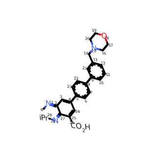 C/N=C1/C=C(c2ccc(-c3cccc(CN4CCOCC4)c3)cc2)C=C(C(=O)O)/C1=N/C(C)C